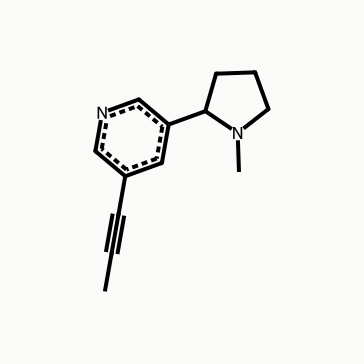 CC#Cc1cncc(C2CCCN2C)c1